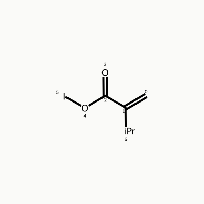 C=C(C(=O)OI)C(C)C